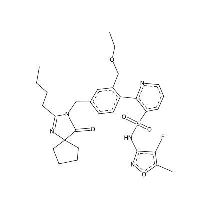 CCCCC1=NC2(CCCC2)C(=O)N1Cc1ccc(-c2ncccc2S(=O)(=O)Nc2noc(C)c2F)c(COCC)c1